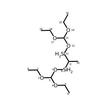 CCOC(OCC)O[SiH2]C(C)[SiH2]OC(OCC)OCC